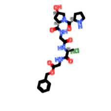 C[C@H](NC(=O)CNC(=O)[C@@H]1C[C@@H](O)CN1C(=O)[C@@H]1CCCN1)C(=O)NCC(=O)OCc1ccccc1.Cl